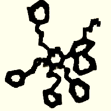 POCc1cc(C2O[C@H](COCc3ccccc3)[C@@H](OCc3ccccc3)[C@H](OCc3ccccc3)[C@H]2OCc2ccccc2)c2ccccc2c1